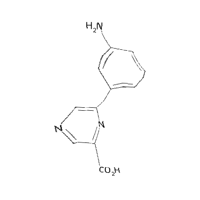 Nc1cccc(-c2cncc(C(=O)O)n2)c1